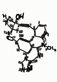 CN(c1cccc(C#CC(C)(O)C(F)(F)F)c1)c1nc2nncn2c2cc(Cl)ccc12